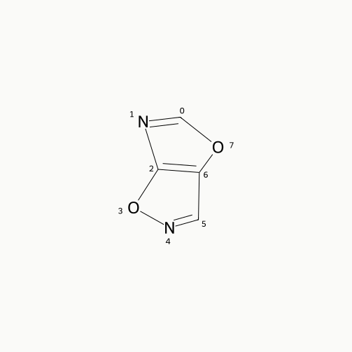 c1nc2oncc2o1